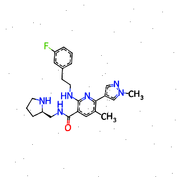 Cc1cc(C(=O)NC[C@H]2CCCN2)c(NCCc2cccc(F)c2)nc1-c1cnn(C)c1